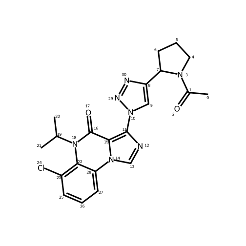 CC(=O)N1CCCC1c1cn(-c2ncn3c2c(=O)n(C(C)C)c2c(Cl)cccc23)nn1